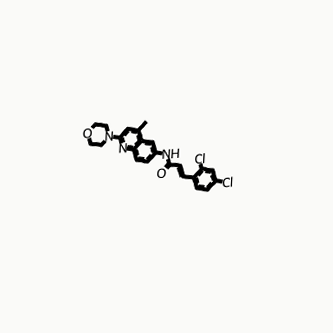 Cc1cc(N2CCOCC2)nc2ccc(NC(=O)C=Cc3ccc(Cl)cc3Cl)cc12